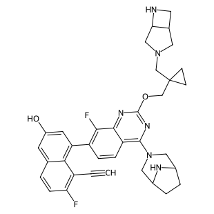 C#Cc1c(F)ccc2cc(O)cc(-c3ccc4c(N5CC6CCC(C5)N6)nc(OCC5(CN6CC7CNC7C6)CC5)nc4c3F)c12